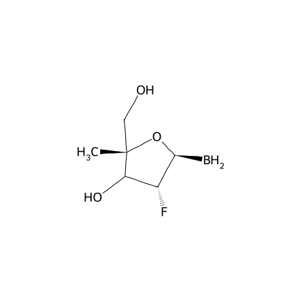 B[C@@H]1O[C@@](C)(CO)C(O)[C@H]1F